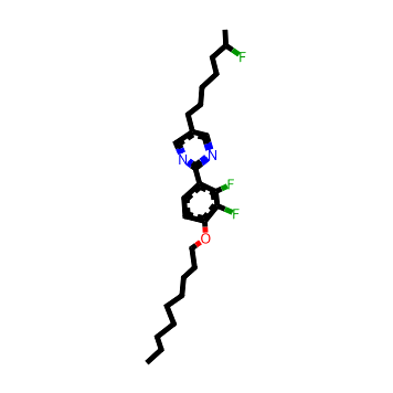 CCCCCCCCCOc1ccc(-c2ncc(CCCCCC(C)F)cn2)c(F)c1F